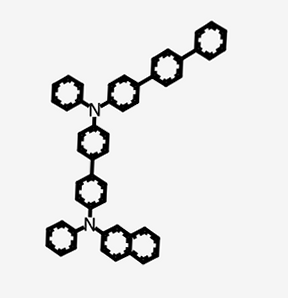 c1ccc(-c2ccc(-c3ccc(N(c4ccccc4)c4ccc(-c5ccc(N(c6ccccc6)c6ccc7ccccc7c6)cc5)cc4)cc3)cc2)cc1